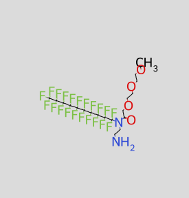 COCCOCCOCC(=O)N(CCN)C(F)(F)C(F)(F)C(F)(F)C(F)(F)C(F)(F)C(F)(F)C(F)(F)C(F)(F)C(F)(F)C(F)(F)F